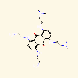 CN(C)CCNc1ccc(NCCN(C)C)c2c1C(=O)c1c(NCCN)ccc(NCCN)c1C2=O